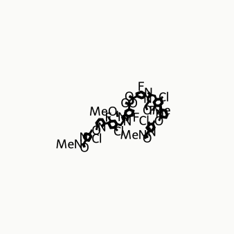 CNC(=O)c1cc(Cl)c(COc2cccc(-c3cc(Cl)c(Cc4nc5c(F)cc(C(=O)OC(=O)c6cc(F)c7nc(Cc8cc(F)c(-c9cccc(OCc%10cnc(C(=O)NC)cc%10Cl)n9)cc8Cl)n(CCOC)c7c6)cc5n4CCOC)cc3F)n2)cn1